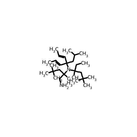 CC=CC(C=CC)(CC(C)C)N(C(C)(CC)CC(C)(C)C)C(C)(CN)CC(C)(C)C